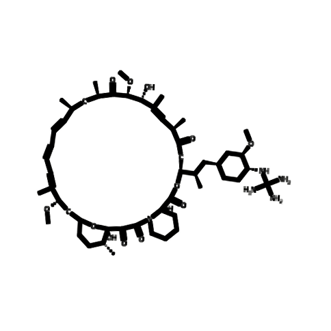 CO[C@H]1CC2CC[C@@H](C)[C@@](O)(O2)C(=O)C(=O)N2CCCC[C@H]2C(=O)O[C@H]([C@H](C)C[C@@H]2CC[C@@H](NC(N)(N)N)[C@H](OC)C2)CC(=O)[C@H](C)/C=C(\C)[C@@H](O)[C@@H](OC)C(=O)[C@H](C)C[C@H](C)/C=C/C=C/C=C/1C